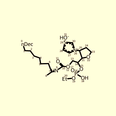 CCCCCCCCCCCCCCCCC(C)NC(=O)OCC(OP(=O)(O)OCC)C1OCCC1[n+]1ccsc1.[OH-]